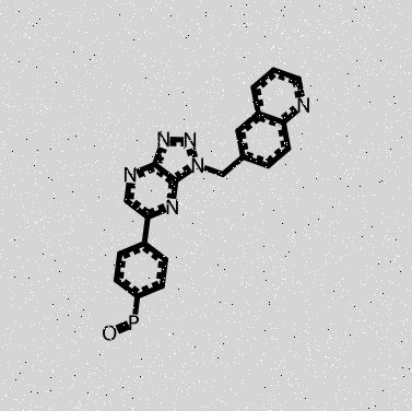 O=Pc1ccc(-c2cnc3nnn(Cc4ccc5ncccc5c4)c3n2)cc1